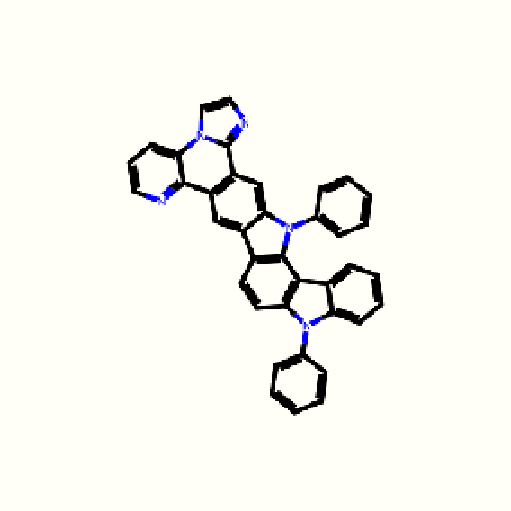 c1ccc(-n2c3ccccc3c3c2ccc2c4cc5c(cc4n(-c4ccccc4)c23)c2nccn2c2cccnc52)cc1